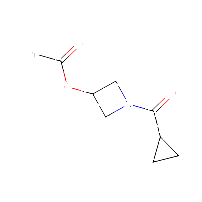 CCCC(=O)OC1CN(C(=O)C2CC2)C1